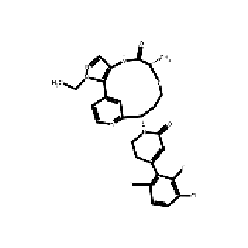 CCn1ncc2c1-c1ccnc(c1)[C@@H](N1CCC(c3c(F)ccc(Cl)c3F)=CC1=O)CCC[C@@H](C)C(=O)N2